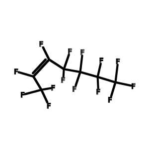 F/C(=C(\F)C(F)(F)C(F)(F)C(F)(F)C(F)(F)F)C(F)(F)F